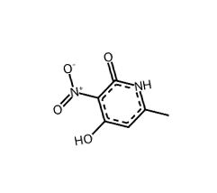 Cc1cc(O)c([N+](=O)[O-])c(=O)[nH]1